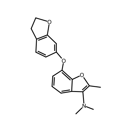 Cc1oc2c(Oc3ccc4c(c3)OCC4)cccc2c1N(C)C